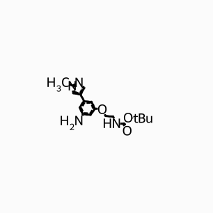 Cn1cc(-c2cc(N)cc(OCCNC(=O)OC(C)(C)C)c2)cn1